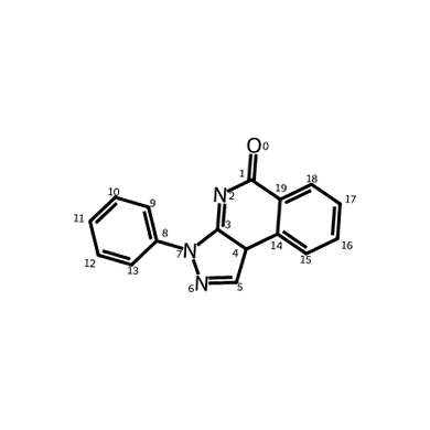 O=C1N=C2C(C=NN2c2ccccc2)c2ccccc21